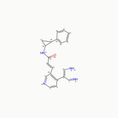 N=C/C(=C\N)c1ccncc1/C=C/C(=O)NC1CC1c1ccccc1